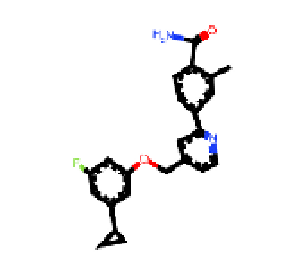 Cc1cc(-c2cc(COc3cc(F)cc(C4CC4)c3)ccn2)ccc1C(N)=O